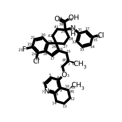 C[C@@H](COc1ccnc2c1[C@H](C)CCC2)CC1=Cc2c(ccc(F)c2Cl)C12CCC(Nc1cccc(Cl)c1)(C(=O)O)CC2